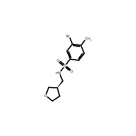 Cc1ccc(S(=O)(=O)NC[C@H]2CCOC2)cc1Br